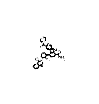 Cc1c(-c2ccc(C(N)=O)c3[nH]c4cnc(C(=O)N5CCOCC5)cc4c23)cccc1-n1cnc2ccccc2c1=O